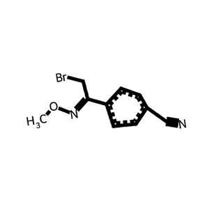 CON=C(CBr)c1ccc(C#N)cc1